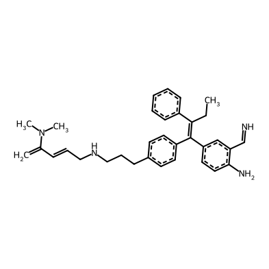 C=C(/C=C/CNCCCc1ccc(/C(=C(/CC)c2ccccc2)c2ccc(N)c(C=N)c2)cc1)N(C)C